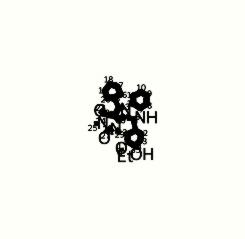 CCOc1cc(C2Nc3ccccc3-n3c(-c4ccccc4)c4c(=O)n(C)c(=O)n(C)c4c32)ccc1O